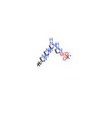 [K+].[K+].[K+].[O-]B([O-])[O-].c1cn[nH]c1.c1cn[nH]c1.c1cn[nH]c1.c1cn[nH]c1